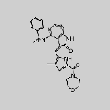 Cc1cc(C(=O)N2CCOCC2)[nH]c1C=C1C(=O)Nc2ncnc(NC(C)c3ccccc3)c21